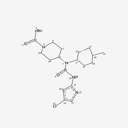 CCCCC(=O)N1CCC(N(C(=O)Nc2ncc(Cl)s2)C2CCC(C)CC2)CC1